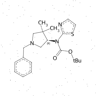 CC(C)(C)OC(=O)N(c1nccs1)[C@H]1CN(Cc2ccccc2)CC1(C)C